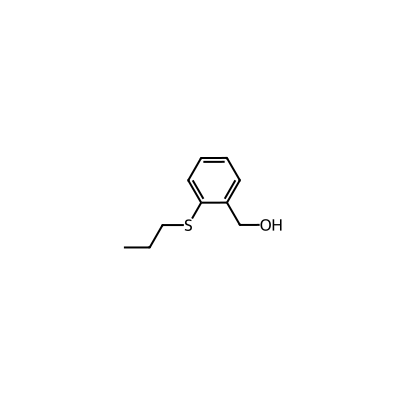 CCCSc1ccccc1CO